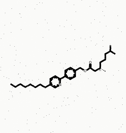 CCCCCCCCc1ccc(-c2ccc(COC(=O)C[C@@H](C)CCCC(C)C)cc2)nc1